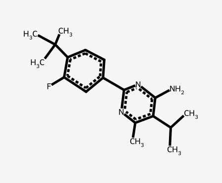 Cc1nc(-c2ccc(C(C)(C)C)c(F)c2)nc(N)c1C(C)C